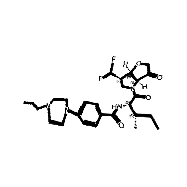 CCCN1CCN(c2ccc(C(=O)N[C@H](C(=O)N3C[C@@H](C(F)F)[C@H]4OCC(=O)[C@H]43)[C@@H](C)CC)cc2)CC1